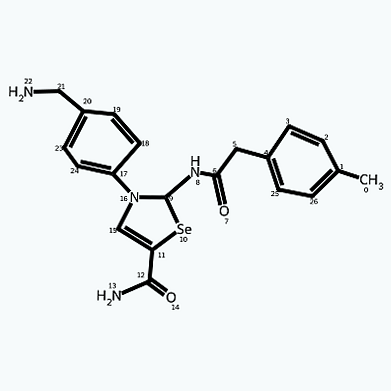 Cc1ccc(CC(=O)NC2[Se]C(C(N)=O)=CN2c2ccc(CN)cc2)cc1